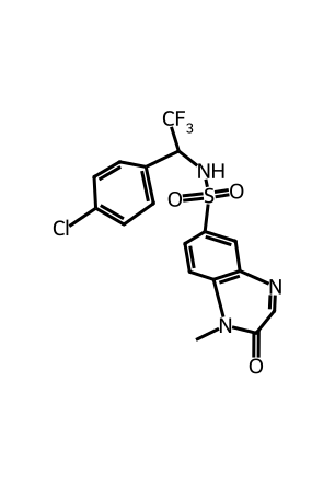 Cn1c(=O)cnc2cc(S(=O)(=O)NC(c3ccc(Cl)cc3)C(F)(F)F)ccc21